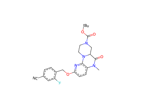 CN1C(=O)C2CN(C(=O)OC(C)(C)C)CCN2c2nc(OCc3ccc(C#N)cc3F)ccc21